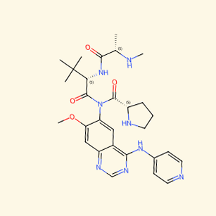 CN[C@@H](C)C(=O)N[C@H](C(=O)N(C(=O)[C@@H]1CCCN1)c1cc2c(Nc3ccncc3)ncnc2cc1OC)C(C)(C)C